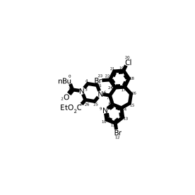 CCCCC(=O)N1CCN(C2c3ncc(Br)cc3CCc3cc(Cl)cc(Br)c32)CC1C(=O)OCC